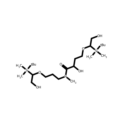 CN(CCCOC(CO)[Si](C)(C)C(C)(C)C)C(=O)C(O)CCOC(CO)[Si](C)(C)C(C)(C)C